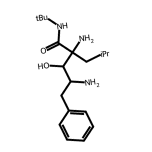 CC(C)CC(N)(C(=O)NC(C)(C)C)C(O)C(N)Cc1ccccc1